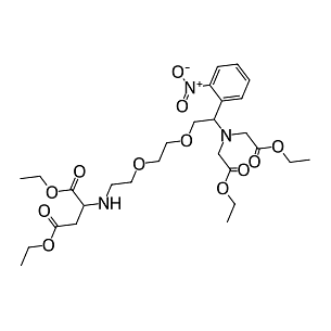 CCOC(=O)CC(NCCOCCOCC(c1ccccc1[N+](=O)[O-])N(CC(=O)OCC)CC(=O)OCC)C(=O)OCC